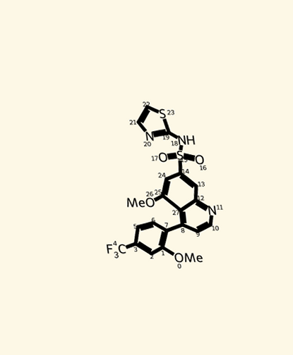 COc1cc(C(F)(F)F)ccc1-c1ccnc2cc(S(=O)(=O)Nc3nccs3)cc(OC)c12